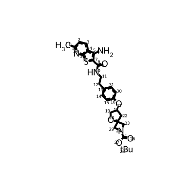 Cc1ccc2c(N)c(C(=O)NCCc3ccc(O[C@@H]4COC5(C4)CN(C(=O)OC(C)(C)C)C5)cc3)sc2n1